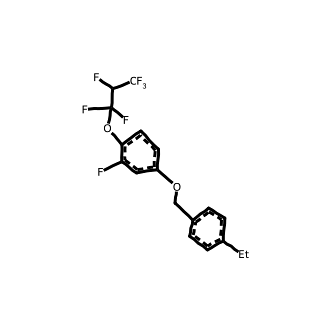 CCc1ccc(COc2ccc(OC(F)(F)C(F)C(F)(F)F)c(F)c2)cc1